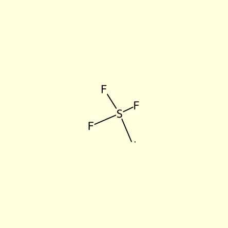 [CH2]S(F)(F)F